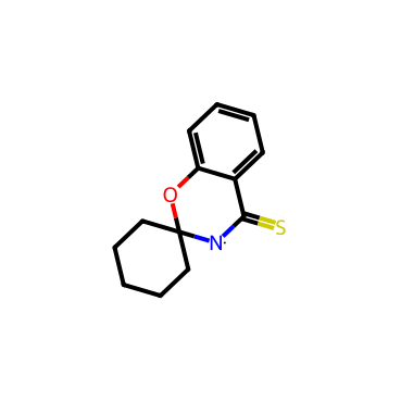 S=C1[N]C2(CCCCC2)Oc2ccccc21